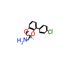 C[C@]1(CN)COc2cccc(-c3ccc(Cl)cc3)c2O1